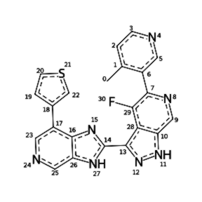 Cc1ccncc1-c1ncc2[nH]nc(-c3nc4c(-c5ccsc5)cncc4[nH]3)c2c1F